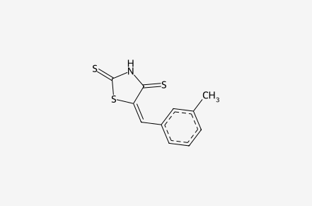 Cc1cccc(C=C2SC(=S)NC2=S)c1